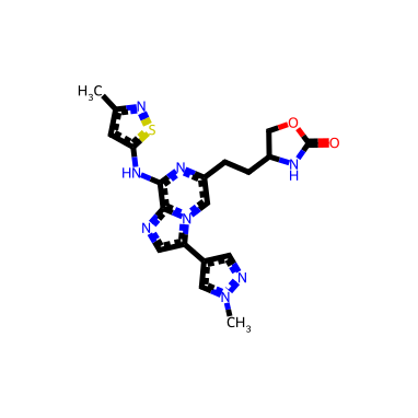 Cc1cc(Nc2nc(CCC3COC(=O)N3)cn3c(-c4cnn(C)c4)cnc23)sn1